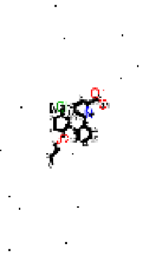 CC=CCOc1ccc(Cl)cc1-c1ccccc1-c1cccc(C(=O)[O-])n1.[Na+]